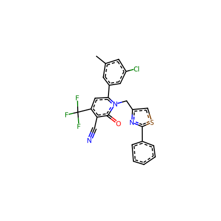 Cc1cc(Cl)cc(-c2cc(C(F)(F)F)c(C#N)c(=O)n2Cc2csc(-c3ccccc3)n2)c1